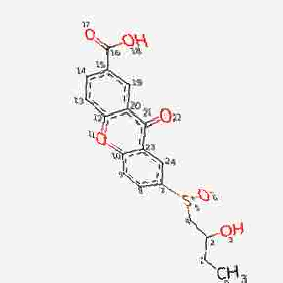 CCC(O)C[S+]([O-])c1ccc2oc3ccc(C(=O)O)cc3c(=O)c2c1